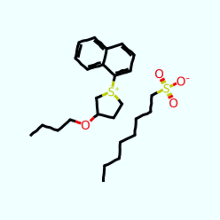 CCCCCCCCS(=O)(=O)[O-].CCCCOC1CC[S+](c2cccc3ccccc23)C1